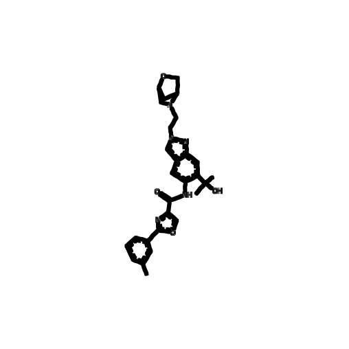 Cc1cccc(-c2nc(C(=O)Nc3cc4cn(CCN5CC6CC5CO6)nc4cc3C(C)(C)O)co2)c1